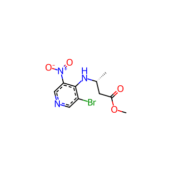 COC(=O)C[C@@H](C)Nc1c(Br)cncc1[N+](=O)[O-]